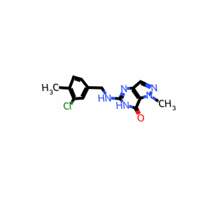 Cc1ccc(CNc2nc3cnn(C)c3c(=O)[nH]2)cc1Cl